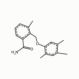 Cc1cc(C)c(OCc2c(C)cccc2C(N)=O)cc1C